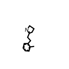 Cc1ccccc1CCC1=NCCC1